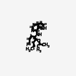 C=CC/C(OC(C)C)=C(\C=C/CF)Nc1ncnc2cc[nH]c12